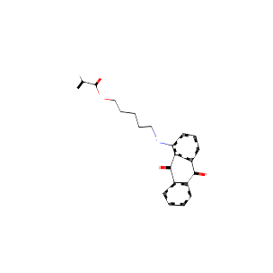 C=C(C)C(=O)OCCCCCNc1cccc2c1C(=O)c1ccccc1C2=O